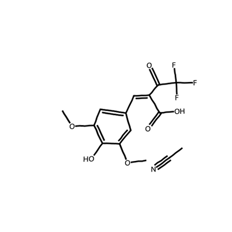 CC#N.COc1cc(C=C(C(=O)O)C(=O)C(F)(F)F)cc(OC)c1O